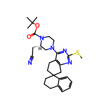 CSc1nc2c(c(N3CCN(C(=O)OC(C)(C)C)[C@@H](CC#N)C3)n1)CCC1(CCCc3ccccc31)C2